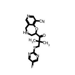 CC(C)(CSc1ncc(F)cn1)C(=O)C1CNCc2cncc(C#N)c2O1